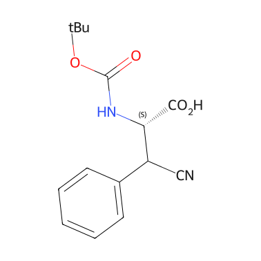 CC(C)(C)OC(=O)N[C@H](C(=O)O)C(C#N)c1ccccc1